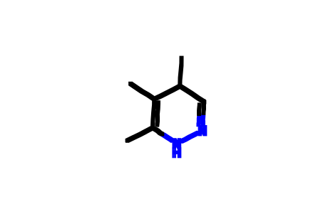 CC1=C(C)C(C)C=NN1